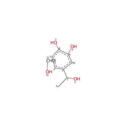 CC(O)c1ccc(O)c(O)c1.O=CO